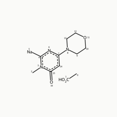 CC(=O)O.Cn1[c]([Na])nc(N2CCOCC2)cc1=O